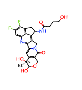 CC[C@]1(O)c2cc3n(c(=O)c2COC1O)Cc1c-3nc2cc(F)c(F)c3c2c1C(NC(=O)CCCO)C3